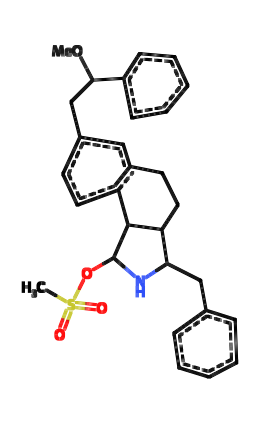 COC(Cc1ccc2c(c1)CCC1C(Cc3ccccc3)NC(OS(C)(=O)=O)C21)c1ccccc1